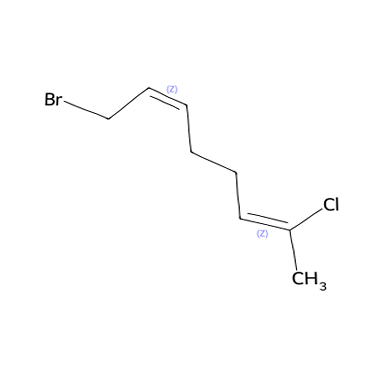 C/C(Cl)=C/CC/C=C\CBr